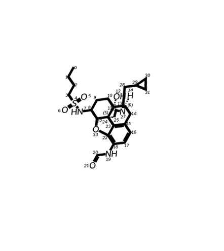 CCCCS(=O)(=O)NC1CC[C@@]2(O)[C@H]3Cc4ccc(NC=O)c5c4[C@@]2(CCN3CC2CC2)C1O5